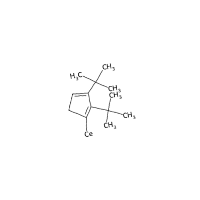 CC(C)(C)C1=CC[C]([Ce])=C1C(C)(C)C